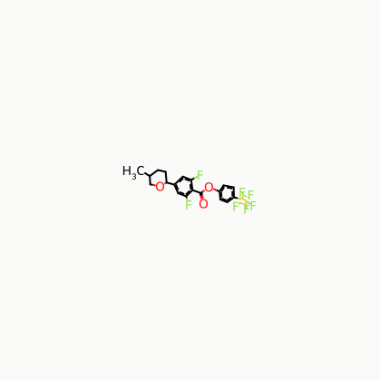 CC1CCC(c2cc(F)c(C(=O)Oc3ccc(S(F)(F)(F)(F)F)cc3)c(F)c2)OC1